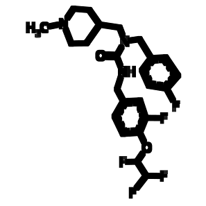 CN1CCC(CN(Cc2ccc(F)cc2)C(=O)NCc2ccc(OC(F)C(F)F)c(F)c2)CC1